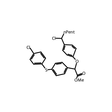 CCCCCC(Cl)c1ccc(OC(C(=O)OC)c2ccc(Sc3ccc(Cl)cc3)cc2)cc1